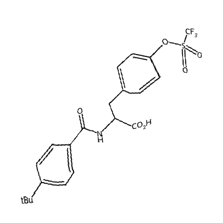 CC(C)(C)c1ccc(C(=O)NC(Cc2ccc(OS(=O)(=O)C(F)(F)F)cc2)C(=O)O)cc1